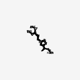 CCOC(CCn1cc(C(C)SS)nn1)OCC